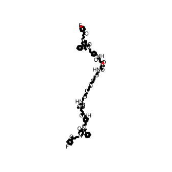 CN(CC(=O)NCCOCCOCCOCCOCCOCCNC(=O)CN(C)C(=O)CCC(=O)Nc1ccc(CCN2CN(c3ccccc3)C3(CCN(CCCC(=O)c4ccc(F)cc4)CC3)C2=O)cc1)C(=O)CCC(=O)Nc1ccc(CCN2CN(c3ccccc3)C3(CCN(CCCC(=O)c4ccc(F)cc4)CC3)C2=O)cc1